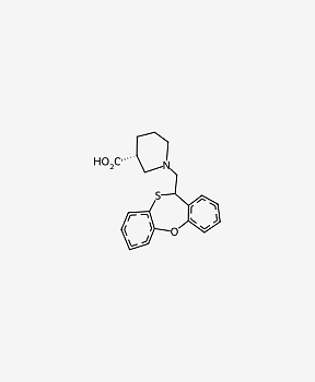 O=C(O)[C@@H]1CCCN(CC2Sc3ccccc3Oc3ccccc32)C1